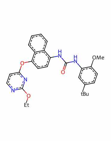 CCOc1nccc(Oc2ccc(NC(=O)Nc3cc(C(C)(C)C)ccc3OC)c3ccccc23)n1